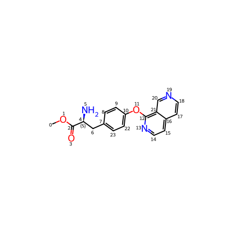 COC(=O)[C@@H](N)Cc1ccc(Oc2nccc3ccncc23)cc1